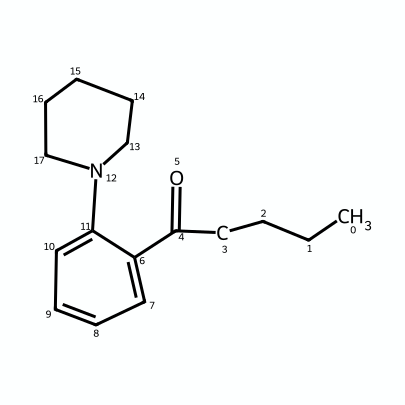 CCCCC(=O)c1ccccc1N1CCCCC1